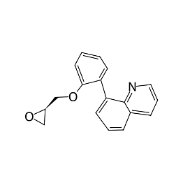 c1ccc(-c2cccc3cccnc23)c(OC[C@H]2CO2)c1